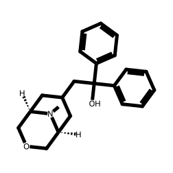 CN1[C@@H]2COC[C@H]1CC(CC(O)(c1ccccc1)c1ccccc1)C2